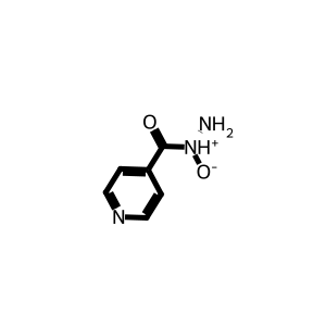 N[NH+]([O-])C(=O)c1ccncc1